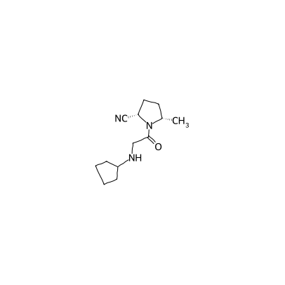 C[C@H]1CC[C@@H](C#N)N1C(=O)CNC1CCCC1